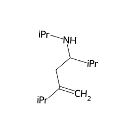 C=C(CC(NC(C)C)C(C)C)C(C)C